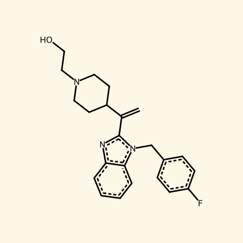 C=C(c1nc2ccccc2n1Cc1ccc(F)cc1)C1CCN(CCO)CC1